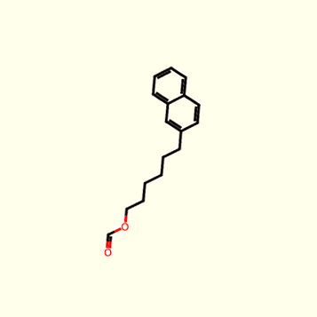 O=COCCCCCCc1ccc2ccccc2c1